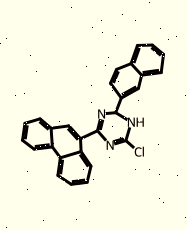 ClC1=NC(c2cc3ccccc3c3ccccc23)=NC(c2ccc3ccccc3c2)N1